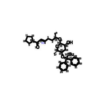 C[C@H](CC/C=C/C(=O)N1CCCC1)O[C@@H]1O[C@@H](C)[C@H](O[Si](c2ccccc2)(c2ccccc2)C(C)(C)C)C[C@H]1O